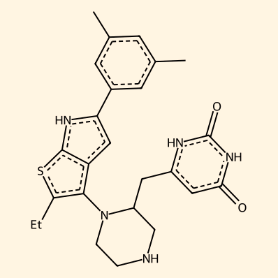 CCc1sc2[nH]c(-c3cc(C)cc(C)c3)cc2c1N1CCNCC1Cc1cc(=O)[nH]c(=O)[nH]1